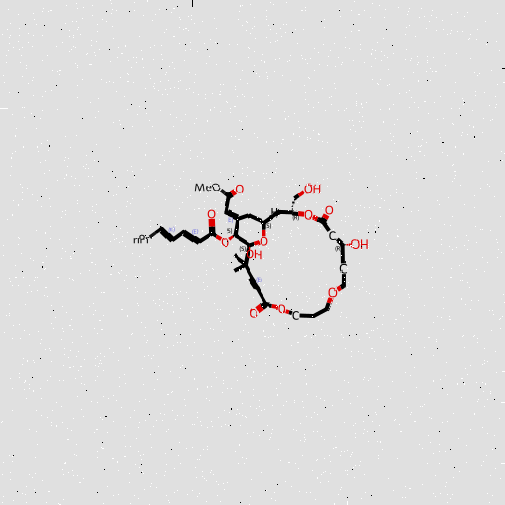 CCC/C=C/C=C/C(=O)O[C@H]1/C(=C/C(=O)OC)C[C@H]2C[C@H](CO)OC(=O)C[C@H](O)CCOCCCOC(=O)/C=C/C(C)(C)[C@]1(O)O2